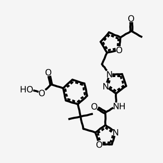 CC(=O)c1ccc(Cn2ccc(NC(=O)c3ncoc3CC(C)(C)c3cccc(C(=O)OO)c3)n2)o1